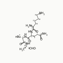 CCCC[C@H](NC(=O)[C@H](CCC(N)=O)NC(=O)[C@@H](N)CCCCN)C(=O)N[C@@H](C)[C]=O